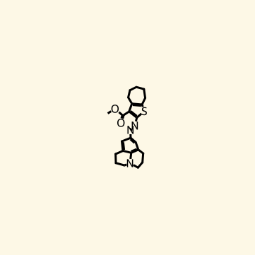 COC(=O)c1c(N=Nc2cc3c4c(c2)CCCN4CCC3)sc2c1CCCCC2